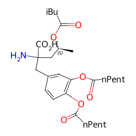 CCCCCC(=O)Oc1ccc(CC(N)(C[C@H](C)OC(=O)C(C)CC)C(=O)O)cc1OC(=O)CCCCC